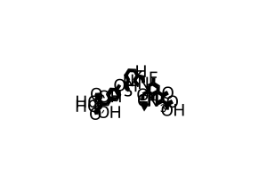 COc1c(N2C[C@H]3CCCN(C(=S)Oc4ccc(CC(P(=O)(O)O)P(=O)(O)O)cc4)[C@H]3C2)c(F)cc2c(=O)c(C(=O)O)cn(C3CC3)c12